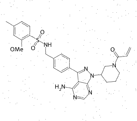 C=CC(=O)N1CCCC(n2nc(-c3ccc(CNS(=O)(=O)c4ccc(C)cc4OC)cc3)c3c(N)ncnc32)C1